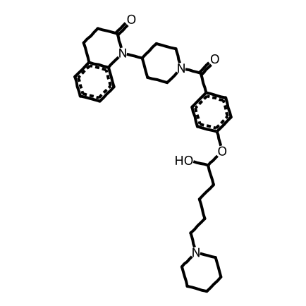 O=C(c1ccc(OC(O)CCCCN2CCCCC2)cc1)N1CCC(N2C(=O)CCc3ccccc32)CC1